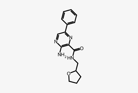 Nc1ncc(-c2ccccc2)nc1C(=O)NCC1CCCO1